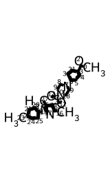 CC(=O)c1ccc(N2CCN(S(=O)(=O)c3c(C)nn(-c4ccc(C)cc4)c3C)CC2)cc1